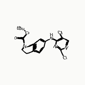 CC(C)(C)OC(=O)N1CCc2ccc(Nc3nc(Cl)ncc3Cl)cc21